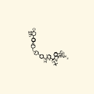 CCC(c1cccc(-c2nc(C(C)(C)C)sc2-c2ccnc(Nc3ccc(C4CCN(CC5CCN(c6ccc(C7CCC(=O)NC7=O)cc6)CC5)CC4)cc3)n2)c1F)S(N)(=O)=O